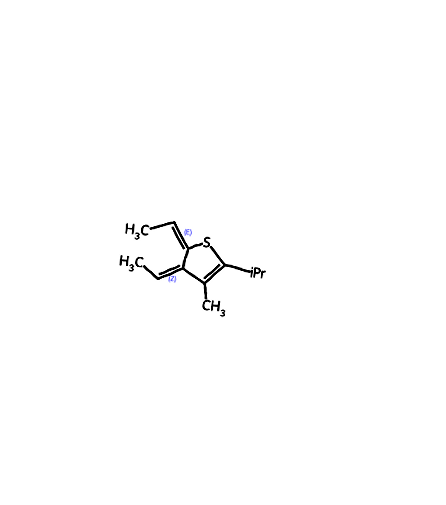 C/C=c1/c(C)c(C(C)C)s/c1=C/C